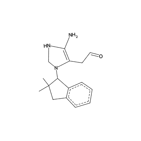 CC1(C)Cc2ccccc2C1N1CNC(N)=C1CC=O